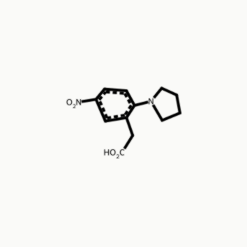 O=C(O)Cc1cc([N+](=O)[O-])ccc1N1CCCC1